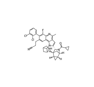 Cc1nc2c(F)c(-c3cccc(Cl)c3Cl)c(CCC#N)cc2c2c1cc([C@H]1[C@@H]3C[C@@H]([C@@H]4C[C@@H]43)N1C(=O)C1CC1)n2C1C2CNC1C2